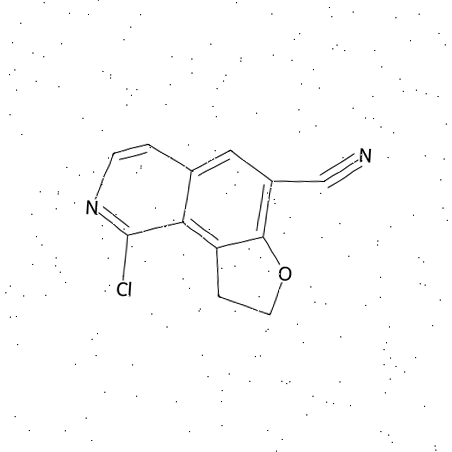 N#Cc1cc2ccnc(Cl)c2c2c1OCC2